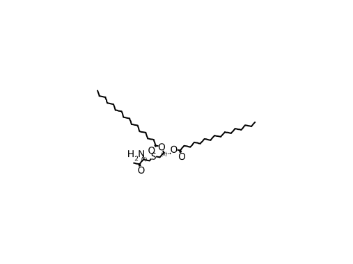 CCCCCCCCCCCCCCCC(=O)OC[C@H](CSC[C@H](N)C(C)=O)OC(=O)CCCCCCCCCCCCCCC